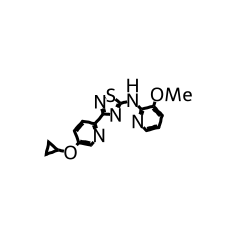 COc1cccnc1Nc1nc(-c2ccc(OC3CC3)cn2)ns1